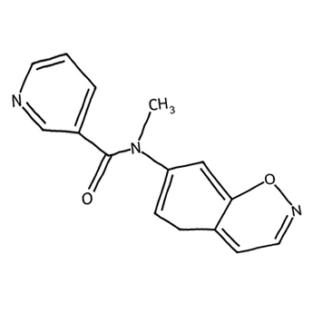 CN(C(=O)c1cccnc1)C1=CCC2=CC=NOC2=C1